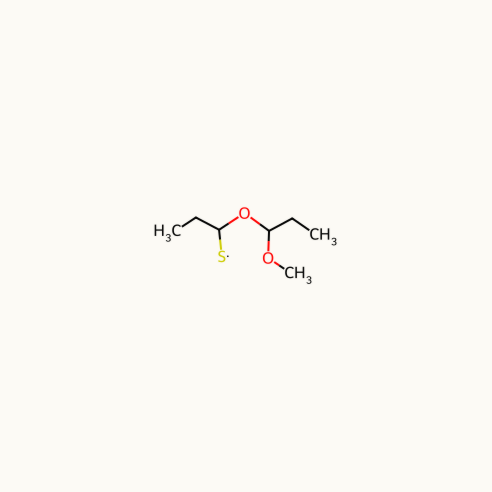 CCC([S])OC(CC)OC